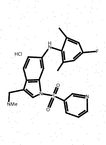 CNCc1cn(S(=O)(=O)c2cccnc2)c2cc(Nc3c(C)cc(F)cc3C)ccc12.Cl